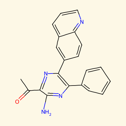 CC(=O)c1nc(-c2ccc3ncccc3c2)c(-c2ccccc2)nc1N